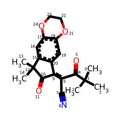 CC(C)(C)C(=O)C(C#N)=C1C(=O)C(C)(C)c2cc3c(cc21)OCCO3